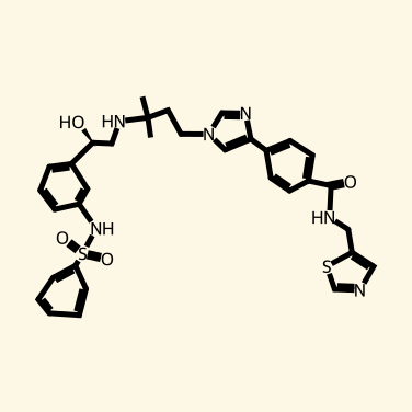 CC(C)(CCn1cnc(-c2ccc(C(=O)NCc3cncs3)cc2)c1)NC[C@H](O)c1cccc(NS(=O)(=O)c2ccccc2)c1